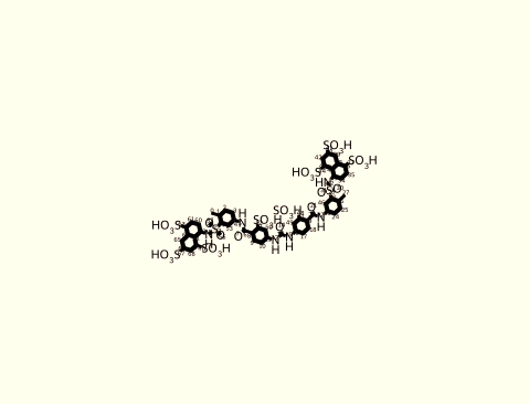 Cc1ccc(NC(=O)c2ccc(NC(=O)Nc3ccc(C(=O)Nc4ccc(C)c(S(=O)(=O)Nc5ccc(S(=O)(=O)O)c6cc(S(=O)(=O)O)cc(S(=O)(=O)O)c56)c4)c(S(=O)(=O)O)c3)cc2S(=O)(=O)O)cc1S(=O)(=O)Nc1ccc(S(=O)(=O)O)c2cc(S(=O)(=O)O)cc(S(=O)(=O)O)c12